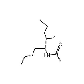 CCCCC(NC(C)=O)C(C)CCC